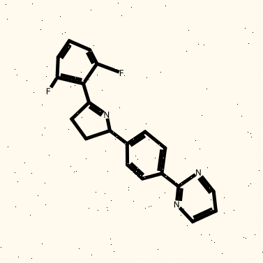 Fc1cccc(F)c1C1=NC(c2ccc(-c3ncccn3)cc2)CC1